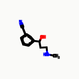 CNCCC(O)c1cccc(C#N)c1